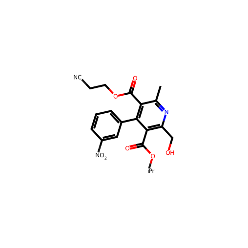 Cc1nc(CO)c(C(=O)OC(C)C)c(-c2cccc([N+](=O)[O-])c2)c1C(=O)OCCC#N